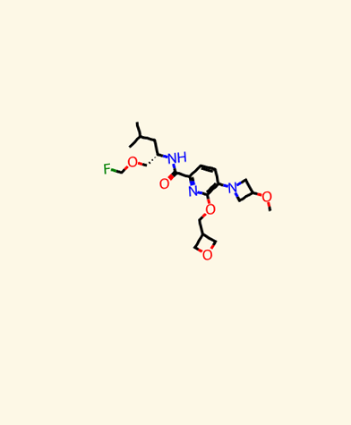 COC1CN(c2ccc(C(=O)N[C@H](COCF)CC(C)C)nc2OCC2COC2)C1